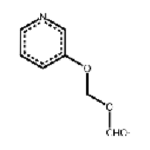 O=[C]OCOc1cccnc1